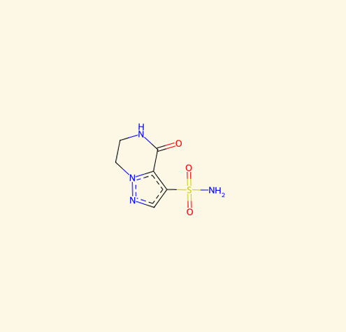 NS(=O)(=O)c1cnn2c1C(=O)NCC2